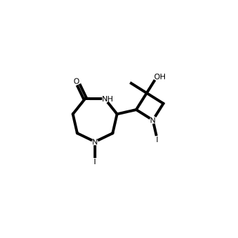 CC1(O)CN(I)C1C1CN(I)CCC(=O)N1